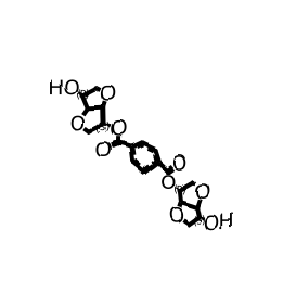 O=C(O[C@H]1COC2C1OC[C@H]2O)c1ccc(C(=O)O[C@@H]2COC3C2OC[C@@H]3O)cc1